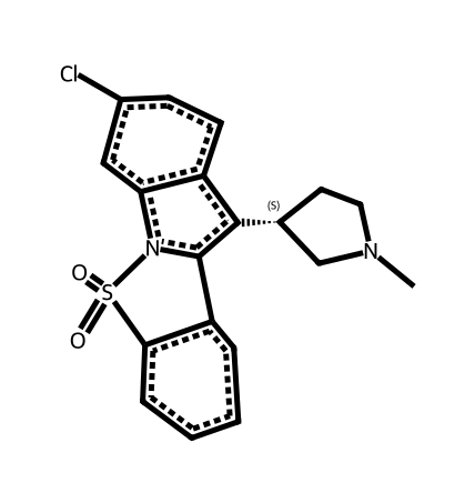 CN1CC[C@@H](c2c3n(c4cc(Cl)ccc24)S(=O)(=O)c2ccccc2-3)C1